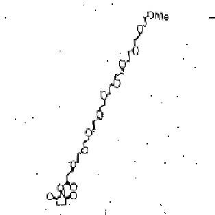 COCCOCCOCCOCCOCCOCCOCCOCCOCCOCCC(=O)ON1C(=O)CCC1=O